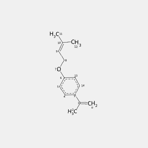 C=C(C)c1ccc(OCC=C(C)C)cc1